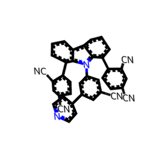 N#Cc1cc(-c2ccncc2)cc(-n2c3c(-c4ccc(C#N)cc4C#N)cccc3c3cccc(-c4ccc(C#N)cc4C#N)c32)c1